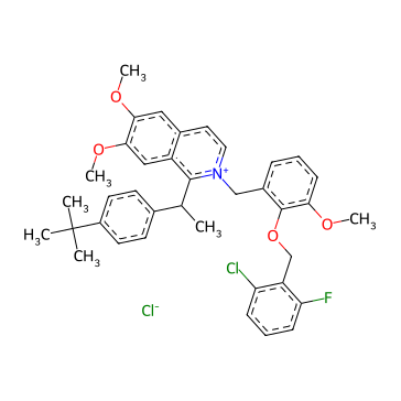 COc1cc2cc[n+](Cc3cccc(OC)c3OCc3c(F)cccc3Cl)c(C(C)c3ccc(C(C)(C)C)cc3)c2cc1OC.[Cl-]